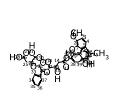 COc1ccc2c3c1O[C@@H]1C(OC(=O)C[C@H](O)C(=O)O[C@H](C(=O)O[C@H](CC(=O)O)C(=O)O)c4ccccc4)=CC[C@]4(O)[C@H](C2)N(C)CC[C@@]314